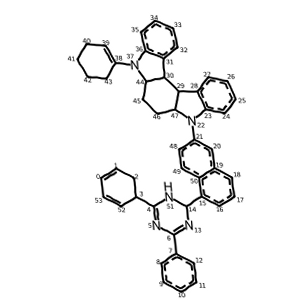 C1=CCC(C2=NC(c3ccccc3)=NC(c3cccc4cc(N5c6ccccc6C6C7c8ccccc8N(C8=CCCCC8)C7CCC65)ccc34)N2)C=C1